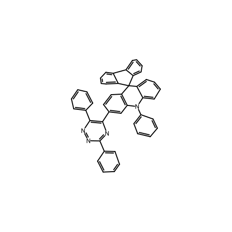 c1ccc(-c2nnc(-c3ccccc3)c(-c3ccc4c(c3)N(c3ccccc3)c3ccccc3C43c4ccccc4-c4ccccc43)n2)cc1